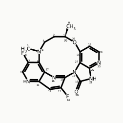 C[C@@H]1CCN(C)c2c(F)cnc3cc(F)c(nc23)-n2c(=O)[nH]c3nccc(c32)O1